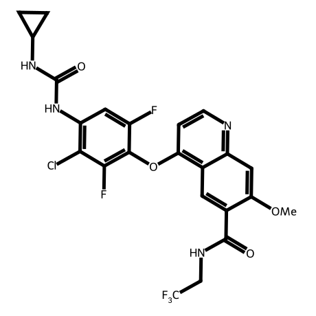 COc1cc2nccc(Oc3c(F)cc(NC(=O)NC4CC4)c(Cl)c3F)c2cc1C(=O)NCC(F)(F)F